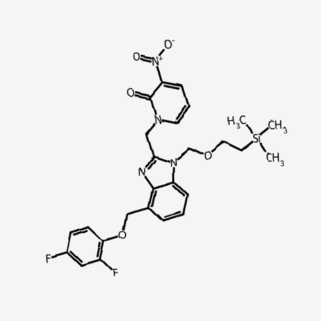 C[Si](C)(C)CCOCn1c(Cn2cccc([N+](=O)[O-])c2=O)nc2c(COc3ccc(F)cc3F)cccc21